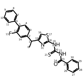 CC(c1ccc(-c2ccccc2)c(F)c1)c1csc(NC(=S)NC(=O)c2ccccc2)n1